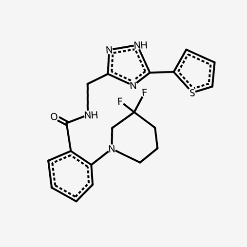 O=C(NCc1n[nH]c(-c2cccs2)n1)c1ccccc1N1CCCC(F)(F)C1